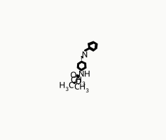 CC(C)(C)OC(=O)N[C@H]1CC[C@H](C=NCc2ccccc2)CC1